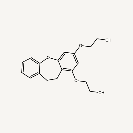 OCCOc1cc(OCCO)c2c(c1)Oc1ccccc1CC2